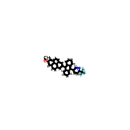 COc1cc2ccc3cc(-c4c5ccccc5c(-c5ccc(C(F)(F)F)nc5)c5ccccc45)cc4ccc(c1)c2c34